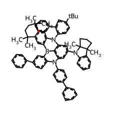 CC(C)(C)c1ccc(N2c3cc4c(cc3B3c5cc(-c6ccccc6)ccc5N(c5ccc(-c6ccccc6)cc5)c5cc(N6c7ccccc7C7(C)CCCC67C)cc2c53)C(C)(C)CCC4(C)C)c(-c2ccccc2)c1